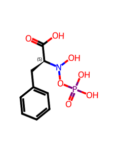 O=C(O)[C@H](Cc1ccccc1)N(O)OP(=O)(O)O